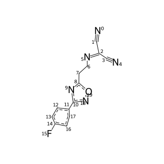 N#CC(C#N)=NCCc1nc(-c2ccc(F)cc2)no1